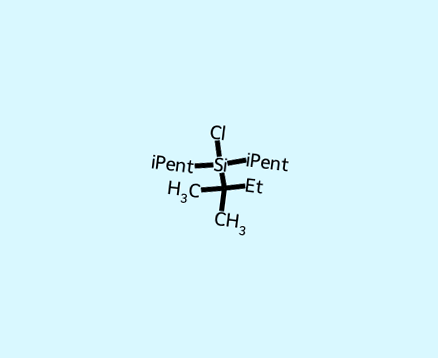 CCCC(C)[Si](Cl)(C(C)CCC)C(C)(C)CC